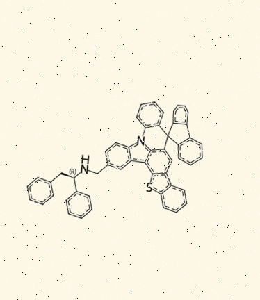 c1ccc(C[C@@H](NCc2ccc3c(c2)c2c4sc5ccccc5c4cc4c2n3-c2ccccc2C42c3ccccc3-c3ccccc32)c2ccccc2)cc1